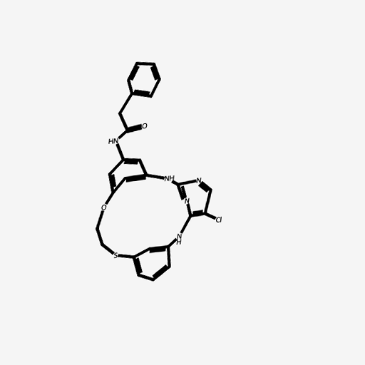 O=C(Cc1ccccc1)Nc1cc2cc(c1)OCCSc1cccc(c1)Nc1nc(ncc1Cl)N2